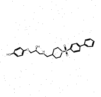 O=S(=O)(c1ccc(-c2ccccc2)cc1)N1CCC(CNC[C@H](O)COc2ccc(O)cc2)CC1